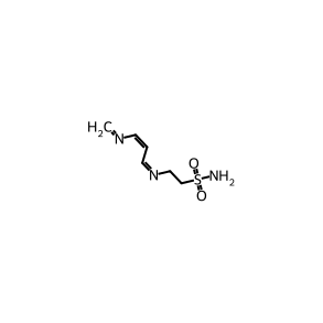 C=N/C=C\C=N/CCS(N)(=O)=O